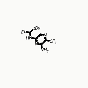 CCC(Nc1cnc(C(F)(F)F)c(N)n1)C(C)(C)C